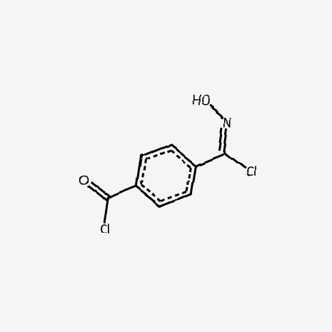 O=C(Cl)c1ccc(/C(Cl)=N\O)cc1